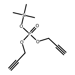 C#CCOP(=O)(OCC#C)O[Si](C)(C)C